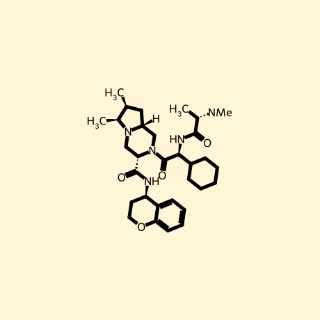 CN[C@@H](C)C(=O)N[C@H](C(=O)N1C[C@H]2C[C@H](C)[C@H](C)N2C[C@H]1C(=O)N[C@@H]1CCOc2ccccc21)C1CCCCC1